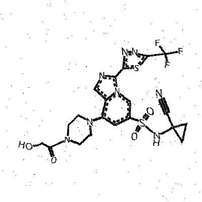 N#CC1(NS(=O)(=O)c2cc(N3CCN(C(=O)CO)CC3)c3cnc(-c4nnc(C(F)(F)F)s4)n3c2)CC1